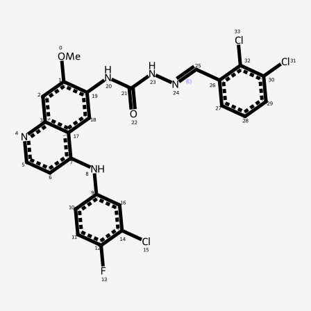 COc1cc2nccc(Nc3ccc(F)c(Cl)c3)c2cc1NC(=O)N/N=C/c1cccc(Cl)c1Cl